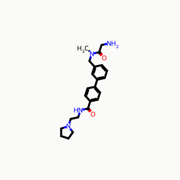 CN(Cc1cccc(-c2ccc(C(=O)NCCN3CCCC3)cc2)c1)C(=O)CN